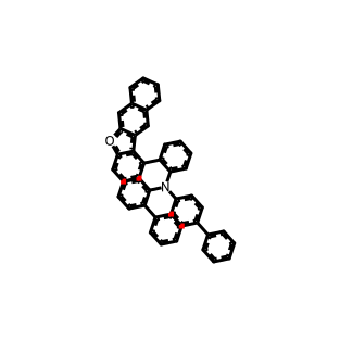 c1ccc(-c2ccc(N(c3ccccc3-c3ccccc3)c3ccccc3-c3cccc4oc5cc6ccccc6cc5c34)cc2)cc1